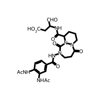 CC(=O)Nc1ccc(C(=O)NN2CCC(=O)N3CCCC(C(=O)NC(C=O)CC(=O)O)N3C2=O)cc1NC(C)=O